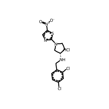 Cl.O=[N+]([O-])c1cnc(N2CC[C@H](NCc3ccc(Cl)cc3Cl)C2)s1